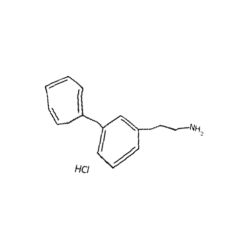 Cl.NCCc1cccc(-c2ccccc2)c1